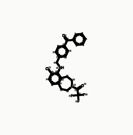 O=C(c1ccccc1)c1ccc(CNc2c(Cl)ccc3c2CCN(C(=O)C(F)(F)F)CC3)cc1